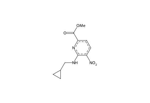 COC(=O)c1ccc([N+](=O)[O-])c(NCC2CC2)n1